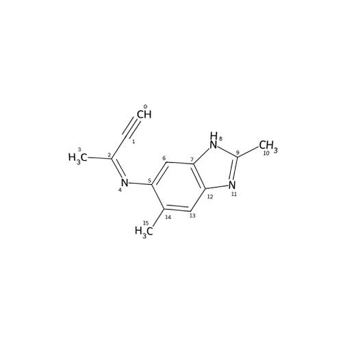 C#C/C(C)=N\c1cc2[nH]c(C)nc2cc1C